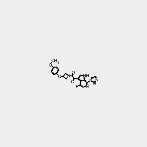 COc1ccc(OC2CN(C(=O)C(=O)c3c[nH]c4c(-n5ccnn5)ncc(F)c34)C2)cc1